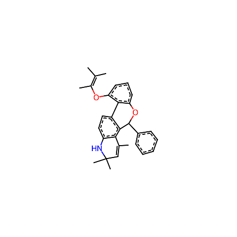 CC1=CC(C)(C)Nc2ccc3c(c21)C(c1ccccc1)Oc1cccc(OC(C)=C(C)C)c1-3